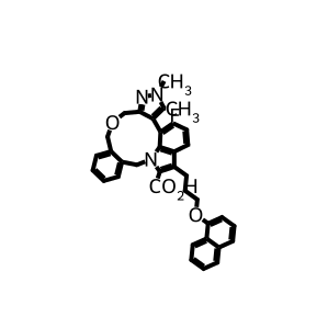 Cc1c2c(nn1C)COCc1ccccc1Cn1c(C(=O)O)c(CCCOc3cccc4ccccc34)c3ccc(F)c-2c31